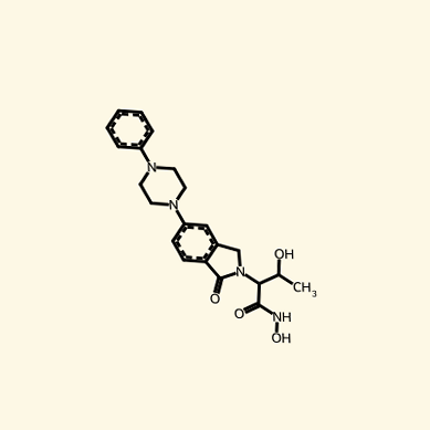 CC(O)C(C(=O)NO)N1Cc2cc(N3CCN(c4ccccc4)CC3)ccc2C1=O